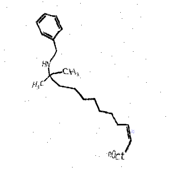 CCCCCCCC/C=C\CCCCCCCC(C)(C)NCc1ccccc1